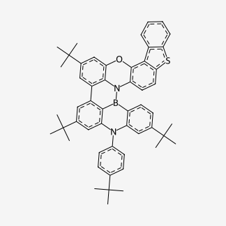 CC(C)(C)c1ccc(N2c3cc(C(C)(C)C)ccc3B3c4c(cc(C(C)(C)C)cc42)-c2cc(C(C)(C)C)cc4c2N3c2ccc3sc5ccccc5c3c2O4)cc1